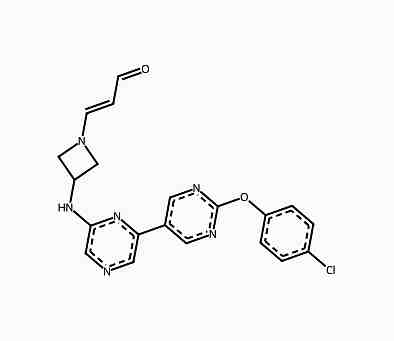 O=CC=CN1CC(Nc2cncc(-c3cnc(Oc4ccc(Cl)cc4)nc3)n2)C1